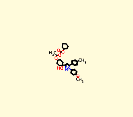 COc1ccc(-n2nc(C3(O)CCC(OC(C)OC(=O)OC4CCCCC4)CC3)cc2-c2ccc(C)cc2)cc1